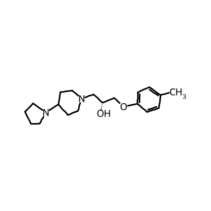 Cc1ccc(OC[C@H](O)CN2CCC(N3CCCC3)CC2)cc1